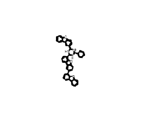 c1ccc(C2NC(c3ccc4oc5ccccc5c4c3)NC(c3cccc4c3oc3ccc(-c5cccc6c5oc5ccccc56)cc34)N2)cc1